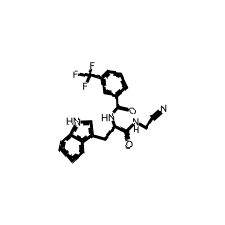 N#CCNC(=O)C(Cc1c[nH]c2ccccc12)NC(=O)c1cccc(C(F)(F)F)c1